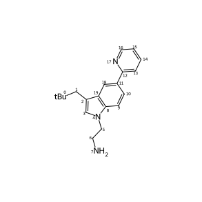 CC(C)(C)Cc1cn(CCN)c2ccc(-c3ccccn3)cc12